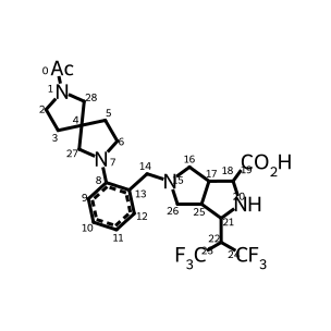 CC(=O)N1CCC2(CCN(c3ccccc3CN3CC4C(C(=O)O)NC(C(C(F)(F)F)C(F)(F)F)C4C3)C2)C1